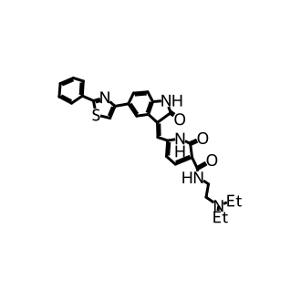 CCN(CC)CCNC(=O)c1ccc(/C=C2\C(=O)Nc3ccc(-c4csc(-c5ccccc5)n4)cc32)[nH]c1=O